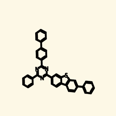 c1ccc(-c2ccc(-c3nc(-c4ccccc4)nc(-c4ccc5c(c4)sc4cc(-c6ccccc6)ccc45)n3)cc2)cc1